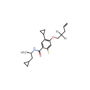 C=CCC(CC)(CC)COc1cc(F)c(C(=O)N[C@@H](CC2CC2)C(=O)O)cc1C1CC1